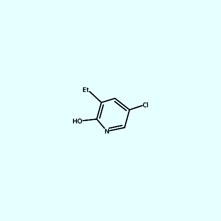 CCc1cc(Cl)cnc1O